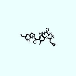 CCc1cnc2c(c1)CCN2C(=O)c1cc2[nH]c(=O)c3nnc(CC4CC4)n3c2cc1C